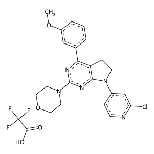 COc1cccc(-c2nc(N3CCOCC3)nc3c2CCN3c2ccnc(Cl)c2)c1.O=C(O)C(F)(F)F